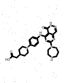 O=C(O)CC1CCN(c2ccc(Nc3nc(N4CCCNCC4)nc4cn[nH]c(=O)c34)cc2)CC1